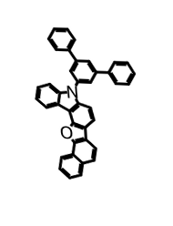 c1ccc(-c2cc(-c3ccccc3)cc(-n3c4ccccc4c4c5oc6c7ccccc7ccc6c5ccc43)c2)cc1